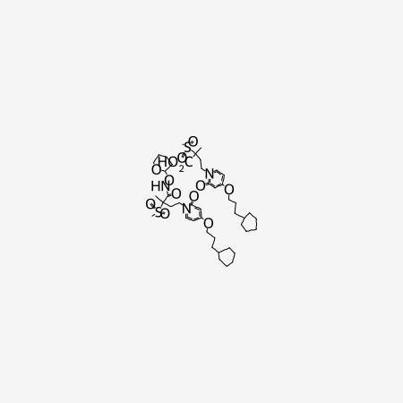 CC(CCn1ccc(OCCCC2CCCCC2)cc1=O)(C(=O)NOC1CCCCO1)S(C)(=O)=O.CC(CCn1ccc(OCCCC2CCCCC2)cc1=O)(C(=O)O)S(C)(=O)=O